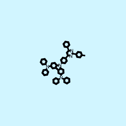 Cc1ccc(-c2nc(-c3ccccc3)cc(-c3ccc(-n4c5ccc(N(c6ccccc6)c6ccccc6)cc5c5cc(N(c6ccccc6)c6ccccc6)ccc54)cc3)n2)cc1